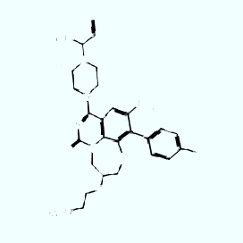 C=CC(O)N1[C@H](C)CN(c2nc(=O)n3c4c(c(-c5ccc(F)cc5)c(C(F)(F)F)cc24)SCC(OCCNC)C3)C[C@@H]1C